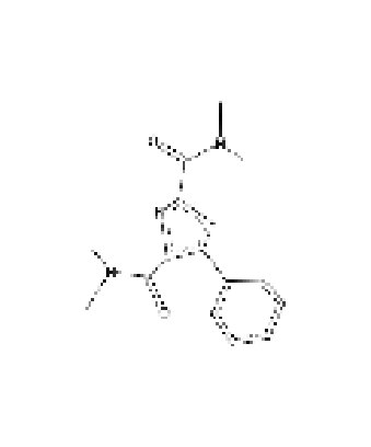 CN(C)C(=O)c1nc(C(=O)N(C)C)c(-c2ccccc2)s1